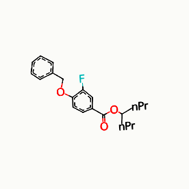 CCCC(CCC)OC(=O)c1ccc(OCc2ccccc2)c(F)c1